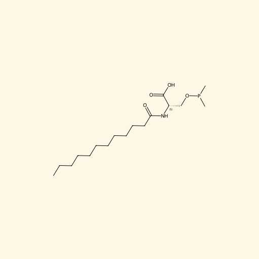 CCCCCCCCCCCC(=O)N[C@@H](COP(C)C)C(=O)O